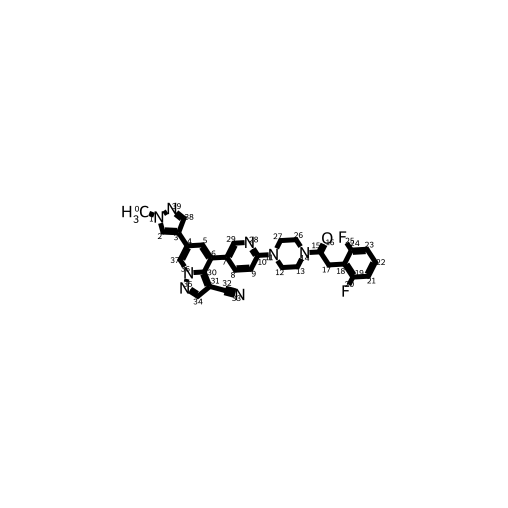 Cn1cc(-c2cc(-c3ccc(N4CCN(C(=O)Cc5c(F)cccc5F)CC4)nc3)c3c(C#N)cnn3c2)cn1